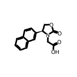 O=C(O)CN1C(=O)OC[C@@H]1c1ccc2ccccc2c1